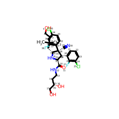 CC(C)(CCO)C[C@H]1N[C@H](C(=O)NCC[C@H](O)CO)[C@@H](c2cccc(Cl)c2F)[C@]1(C#N)c1ccc(Cl)cc1F